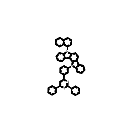 c1ccc(-c2cc(-c3cccc(-n4c5ccccc5c5ccc6c(c7ccccc7n6-c6cccc7ccccc67)c54)c3)nc(-c3ccccc3)n2)cc1